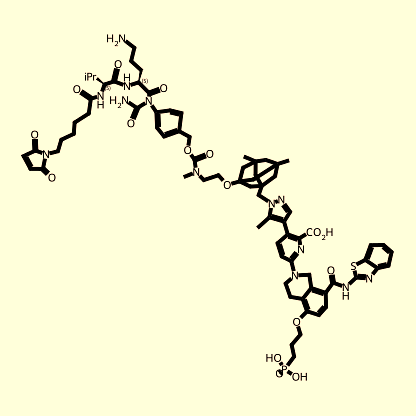 Cc1c(-c2ccc(N3CCc4c(OCCCP(=O)(O)O)ccc(C(=O)Nc5nc6ccccc6s5)c4C3)nc2C(=O)O)cnn1CC12CC3(C)CC(C)(C1)CC(OCCN(C)C(=O)OCc1ccc(N(C(N)=O)C(=O)[C@H](CCCN)NC(=O)[C@@H](NC(=O)CCCCCN4C(=O)C=CC4=O)C(C)C)cc1)(C3)C2